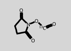 O=[13CH]ON1C(=O)CCC1=O